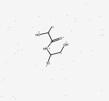 CCC(CO)NC(=O)C(C)O